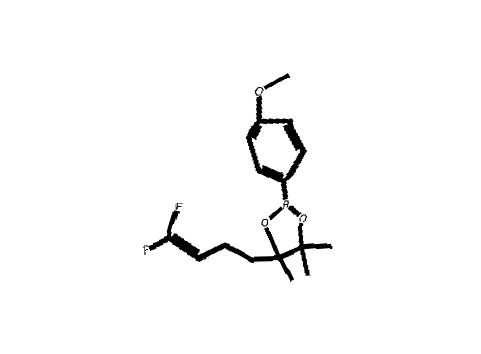 COc1ccc(B2OC(C)(C)C(C)(CCC=C(F)F)O2)cc1